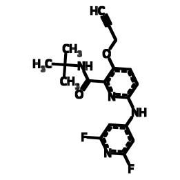 C#CCOc1ccc(Nc2cc(F)nc(F)c2)nc1C(=O)NC(C)(C)C